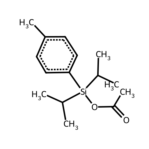 CC(=O)O[Si](c1ccc(C)cc1)(C(C)C)C(C)C